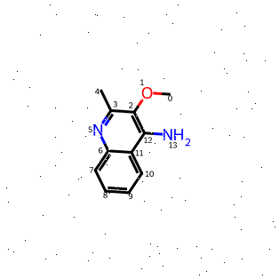 COc1c(C)nc2ccccc2c1N